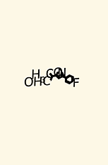 CC(CC=O)c1cc(-c2ccc(F)cc2)no1